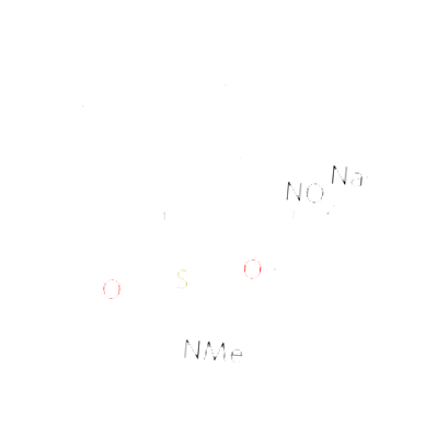 CNS(=O)(=O)c1ccccc1[N+](=O)[O-].[Na]